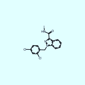 O=C(NI)c1nn(Cc2ccc(Cl)cc2Cl)c2ccccc12